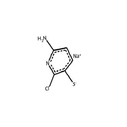 Nc1ccc([S-])c(Cl)n1.[Na+]